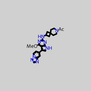 COc1nc(NC2CC3(CCN(C(C)=O)CC3)C2)nc2[nH]cc(-c3ccn4ncnc4c3)c12